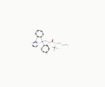 CCCCN(C(=O)CCC1(c2ccc(Cl)cc2)c2ccccc2-c2nccn21)C(C)(C)C